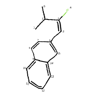 CC(C)/C(F)=C\c1ccc2ccccc2c1